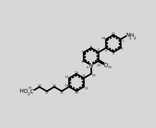 Nc1ccc(-c2cccn(Cc3ccc(CCCCC(=O)O)cc3)c2=O)cc1